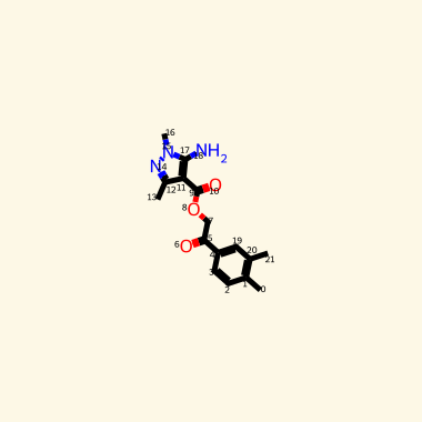 Cc1ccc(C(=O)COC(=O)c2c(C)nn(C)c2N)cc1C